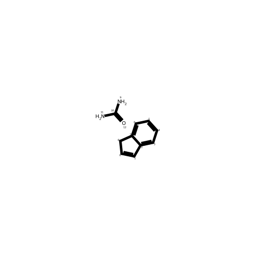 C1=Cc2ccccc2C1.NC(N)=O